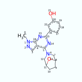 Cn1ncc2c(N3CC4CCC(C3)O4)nc(-c3cccc(O)c3)nc21